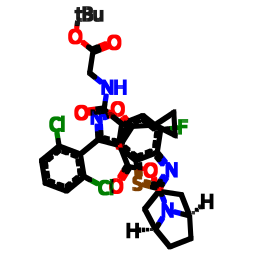 CC(C)(C)OC(=O)CNC(=O)c1cc(F)c2nc(N3[C@@H]4CC[C@H]3C[C@@H](OC(=O)c3c(-c5c(Cl)cccc5Cl)noc3C3CC3)C4)sc2c1